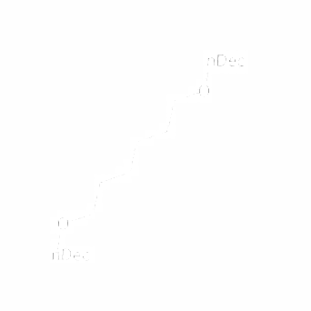 CCCCCCCCCCOCCCCCCOCCCCCCCCCC